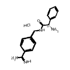 Cl.N=C(N)c1ccc(CNC(=O)[C@@H](N)c2ccccc2)cc1